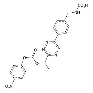 CC(OC(=O)Oc1ccc([N+](=O)[O-])cc1)c1nnc(-c2ccc(CNC(=O)O)cc2)nn1